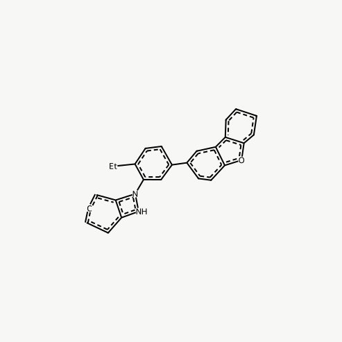 CCc1ccc(-c2ccc3oc4ccccc4c3c2)cc1-n1[nH]c2ccccc21